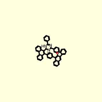 c1ccc(C2=NC(c3ccccc3)NC(c3c(-c4ccc(-c5c6ccccc6cc6c5oc5ccccc56)cc4)c4ccccc4c4ccccc34)N2)cc1